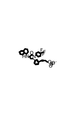 O=C1[C@H](N[C@H]2CCCc3ccccc32)C[C@H](c2cccc(C#CCCO[N+](=O)[O-])c2)N1c1ccc(C(F)(F)F)cc1